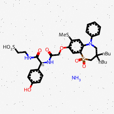 CCCCC1(CCCC)CN(c2ccccc2)c2cc(SC)c(OCC(=O)N[C@H](C(=O)NCCS(=O)(=O)O)c3ccc(O)cc3)cc2S(=O)(=O)C1.N